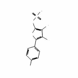 CCCS(=O)(=O)Nc1oc(-c2ccc(Cl)cc2)c(O)c1O